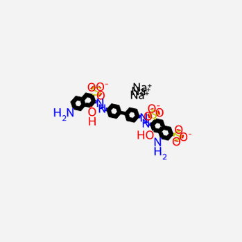 Nc1ccc2cc(S(=O)(=O)[O-])c(N=Nc3ccc(-c4ccc(N=Nc5c(S(=O)(=O)[O-])cc6cc(S(=O)(=O)[O-])cc(N)c6c5O)cc4)cc3)c(O)c2c1.[Na+].[Na+].[Na+]